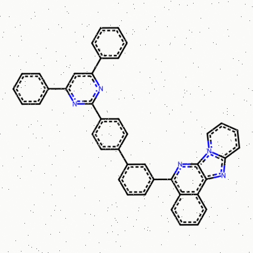 c1ccc(-c2cc(-c3ccccc3)nc(-c3ccc(-c4cccc(-c5nc6c(nc7ccccn76)c6ccccc56)c4)cc3)n2)cc1